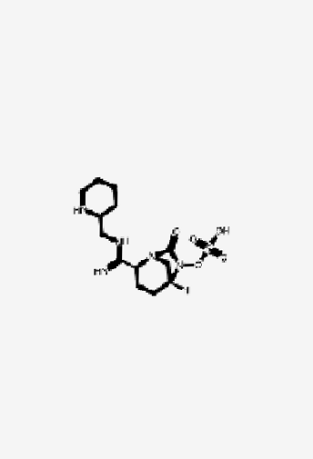 N=C(NCC1CCCCN1)[C@@H]1CC[C@@H]2CN1C(=O)N2OS(=O)(=O)O